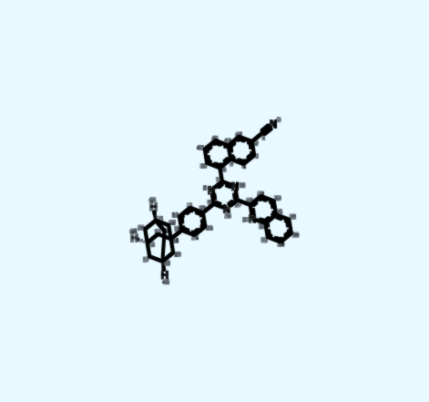 N#Cc1ccc2c(-c3nc(-c4ccc(C56C[C@H]7C[C@@H](C5)C[C@@H](C6)C7)cc4)nc(-c4ccc5ccccc5n4)n3)cccc2c1